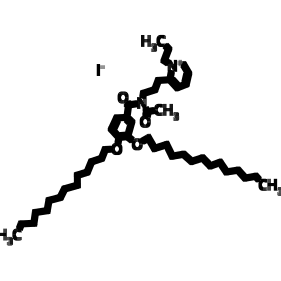 CCCCCCCCCCCCCCOc1ccc(C(=O)N(CCCc2cccc[n+]2CCC)C(C)=O)cc1OCCCCCCCCCCCCCC.[I-]